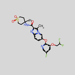 Cc1c(C(=O)NC2(C(C)C)CCS(=O)(=O)CC2)nc2ccc(Oc3ncc(F)cc3OCC(F)F)cn12